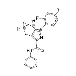 O=C(Nc1cccnc1)c1nn(-c2ccc(F)cc2F)c2c1C[C@H]1C[C@@H]21